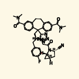 CN(C)C(=O)c1ccc2c(c1)CCc1cc(C(=O)N(C)C)ccc1C2(C[C@H](Cc1ccc(F)cc1)NCC(=O)N1[C@H](C#N)C[C@@H]2C[C@@H]21)c1nnn[nH]1